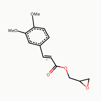 COc1ccc(/C=C/C(=O)OCC2CO2)cc1OC